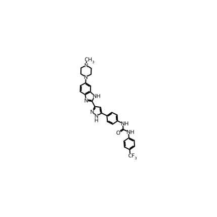 CN1CCN(c2ccc3nc(-c4cc(-c5ccc(NC(=O)Nc6ccc(C(F)(F)F)cc6)cc5)[nH]n4)[nH]c3c2)CC1